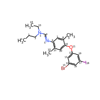 CCCN(/C=N/c1cc(C)c(Oc2cc(Br)cc(I)c2)cc1C)CC